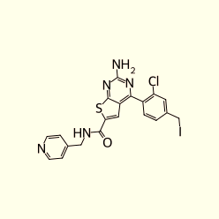 Nc1nc(-c2ccc(CI)cc2Cl)c2cc(C(=O)NCc3ccncc3)sc2n1